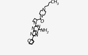 CCCCN1CCN(C(=O)C2CCN2c2nc(N)n3nc(-c4ccco4)nc3n2)CC1